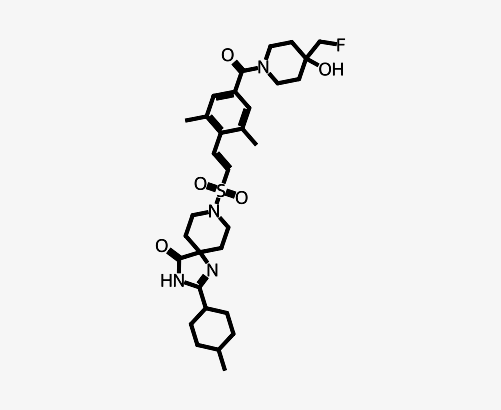 Cc1cc(C(=O)N2CCC(O)(CF)CC2)cc(C)c1C=CS(=O)(=O)N1CCC2(CC1)N=C(C1CCC(C)CC1)NC2=O